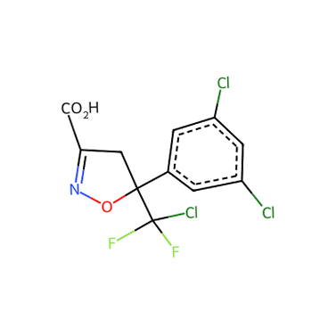 O=C(O)C1=NOC(c2cc(Cl)cc(Cl)c2)(C(F)(F)Cl)C1